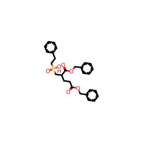 O=C(CCC(CP(=O)(O)CCc1ccccc1)C(=O)OCc1ccccc1)OCc1ccccc1